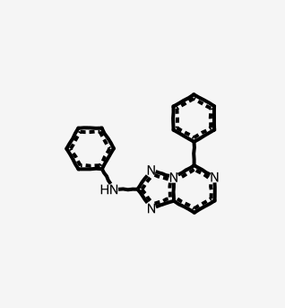 c1ccc(Nc2nc3ccnc(-c4ccccc4)n3n2)cc1